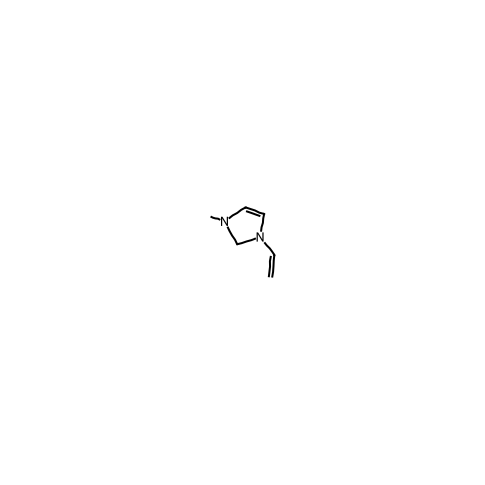 C=CN1C=CN(C)C1